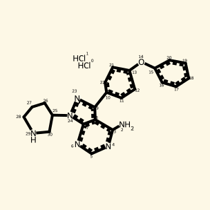 Cl.Cl.Nc1ncnc2c1c(-c1ccc(Oc3ccccc3)cc1)nn2C1CCCNC1